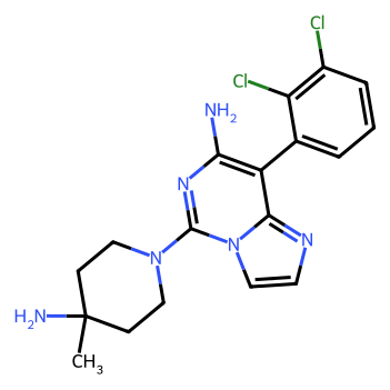 CC1(N)CCN(c2nc(N)c(-c3cccc(Cl)c3Cl)c3nccn23)CC1